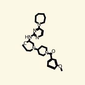 COc1cccc(C(=O)N2CCC(N3CCCCC(Nc4nccc(N5CCCCCC5)n4)C3)CC2)c1